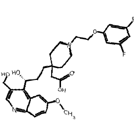 COc1ccc2ncc(CO)c([C@H](O)CCC3(CC(=O)O)CCN(CCOc4cc(F)cc(F)c4)CC3)c2c1